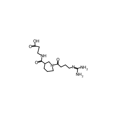 NC(N)=NCCCC(=O)N1CCCC(C(=O)NCCC(=O)O)C1